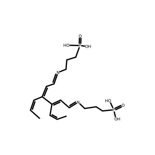 C\C=C/C(=C/C=N/CCCP(=O)(O)O)C(/C=C\C)=C/C=N/CCCP(=O)(O)O